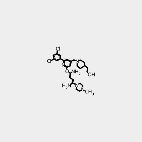 CN1CCN(/C(N)=C/C=C(\N)Oc2cc(CN3CCC(CCO)CC3)cc(-c3cc(Cl)cc(Cl)c3)n2)CC1